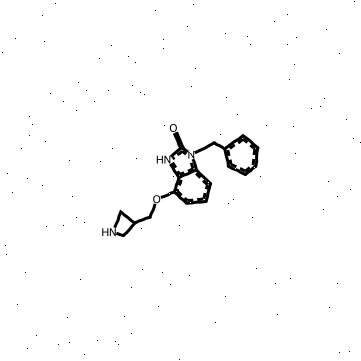 O=c1[nH]c2c(OCC3CNC3)cccc2n1Cc1ccccc1